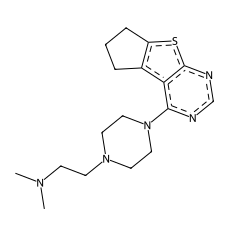 CN(C)CCN1CCN(c2ncnc3sc4c(c23)CCC4)CC1